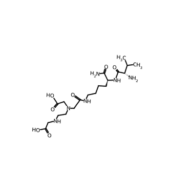 CC(C)[C@H](N)C(=O)N[C@@H](CCCCNC(=O)CN(CCNCC(=O)O)CC(=O)O)C(N)=O